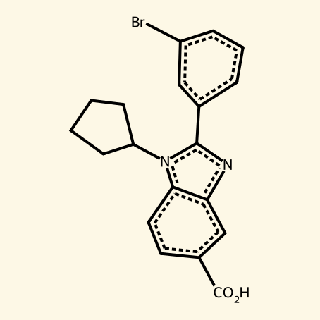 O=C(O)c1ccc2c(c1)nc(-c1cccc(Br)c1)n2C1CCCC1